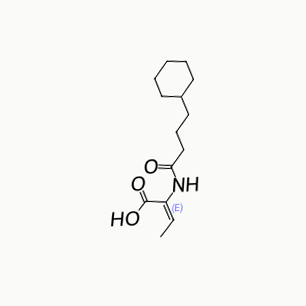 C/C=C(/NC(=O)CCCC1CCCCC1)C(=O)O